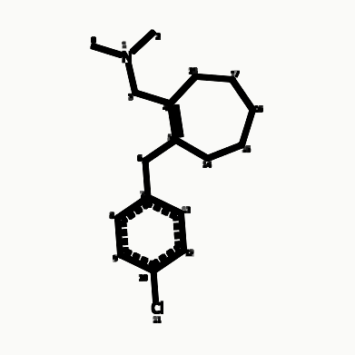 CN(C)CC1=C(Cc2ccc(Cl)cc2)CCCCC1